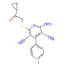 Cc1ccc(-c2c(C#N)c(N)nc(SCC(=O)C3CC3)c2C#N)cc1